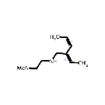 C/C=C\C(=C/C)CNCCNC